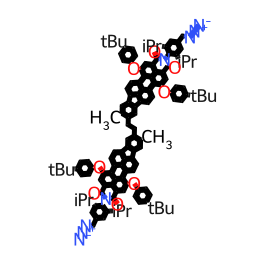 Cc1cc2c(cc1CCc1cc3c(cc1C)-c1ccc4c5c(Oc6ccc(C(C)(C)C)cc6)cc6c7c(cc(Oc8ccc(C(C)(C)C)cc8)c(c8ccc-3c1c48)c75)C(=O)N(c1c(C(C)C)cc(CN=[N+]=[N-])cc1C(C)C)C6=O)-c1ccc3c4c(Oc5ccc(C(C)(C)C)cc5)cc5c6c(cc(Oc7ccc(C(C)(C)C)cc7)c(c7ccc-2c1c73)c64)C(=O)N(c1c(C(C)C)cc(CN=[N+]=[N-])cc1C(C)C)C5=O